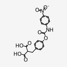 O=C(Nc1ccc([N+](=O)[O-])cc1)Oc1ccc(CC(C(=O)O)C(=O)O)cc1